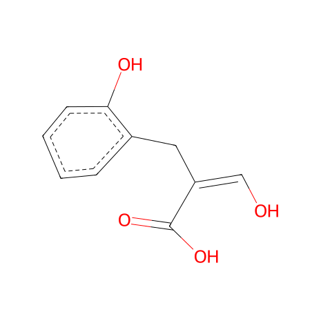 O=C(O)C(=CO)Cc1ccccc1O